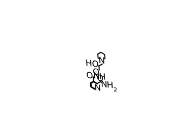 NC(=O)c1ncccc1C(=O)NOCC(O)CN1CCCCC1